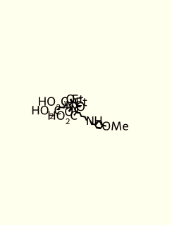 CCC1(CC)C(=O)N(C(CCCCNCc2ccc(OC)cc2)C(=O)O)C(=O)N([C@@H](CCC(=O)O)C(=O)O)C1=O